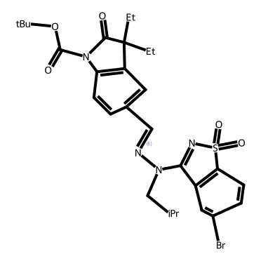 CCC1(CC)C(=O)N(C(=O)OC(C)(C)C)c2ccc(/C=N/N(CC(C)C)C3=NS(=O)(=O)c4ccc(Br)cc43)cc21